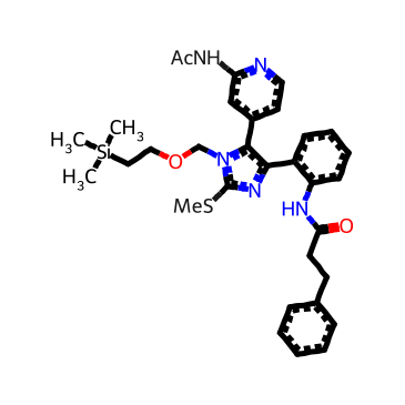 CSc1nc(-c2ccccc2NC(=O)CCc2ccccc2)c(-c2ccnc(NC(C)=O)c2)n1COCC[Si](C)(C)C